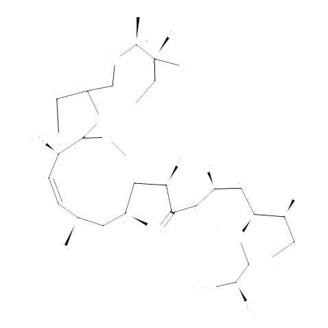 CC[C@@H](C(=O)[C@@H](C)[C@@H](O)[C@H](C)[C@@H]1O[C@@H]([C@@H](CC)C(=O)O)CC[C@@H]1C)[C@H]1OO[C@@]2(CC[C@@](C)([C@H]3CC[C@](O)(CC)[C@H](C)O3)O2)[C@H](N)/C=C\[C@H](C)C[C@@H]1C